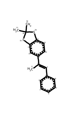 CC(=Cc1ccccc1)c1ccc2c(c1)SC(C)(C)S2